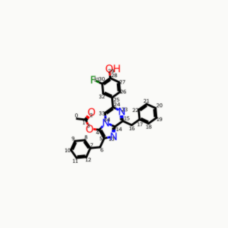 CC(=O)Oc1c(Cc2ccccc2)nc2c(Cc3ccccc3)nc(-c3ccc(O)c(F)c3)cn12